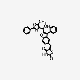 Cc1oc(-c2ccccc2)nc1C(O)c1oc2ccc(C=C3SC(=O)NC3=O)cc2c1-c1ccccc1